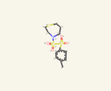 Cc1ccc(S(=O)(=O)S(=O)(=O)N2CCCSCC2)cc1